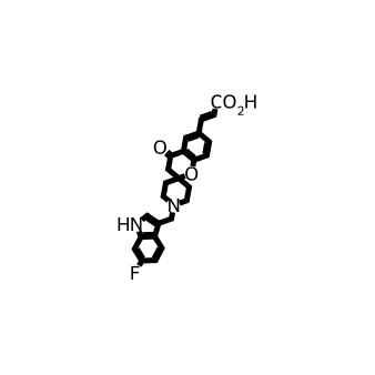 O=C(O)/C=C/c1ccc2c(c1)C(=O)CC1(CCN(Cc3c[nH]c4cc(F)ccc34)CC1)O2